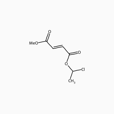 COC(=O)C=CC(=O)OC(C)Cl